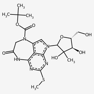 CSc1nc2c3c(cn(C4O[C@H](CO)[C@@H](O)C4(C)O)c3n1)N(C(=O)OC(C)(C)C)CC(=O)N2